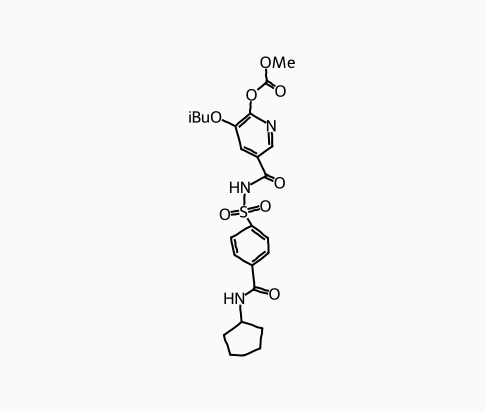 COC(=O)Oc1ncc(C(=O)NS(=O)(=O)c2ccc(C(=O)NC3CCCCC3)cc2)cc1OCC(C)C